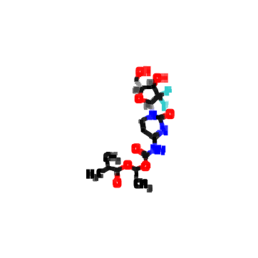 CC(OC(=O)Nc1ccn([C@@H]2O[C@H](CO)[C@@H](O)C2(F)F)c(=O)n1)OC(=O)C(C)C